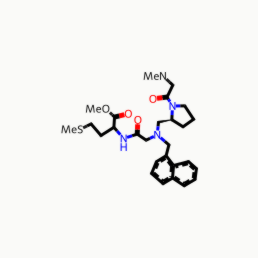 CNCC(=O)N1CCC[C@H]1CN(CC(=O)NC(CCSC)C(=O)OC)Cc1cccc2ccccc12